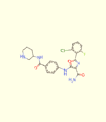 NC(=O)c1nc(-c2c(F)cccc2Cl)oc1Nc1ccc(C(=O)NC2CCCNC2)cc1